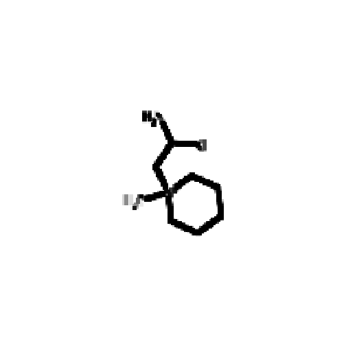 C[N+]1(CC(N)Cl)CCCCC1